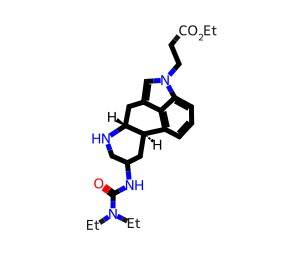 CCOC(=O)CCn1cc2c3c(cccc31)[C@H]1CC(NC(=O)N(CC)CC)CN[C@@H]1C2